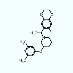 Cc1cc(OC2CCCN(C(C)c3cc4c(cc3F)OCCO4)C2)cc(C)n1